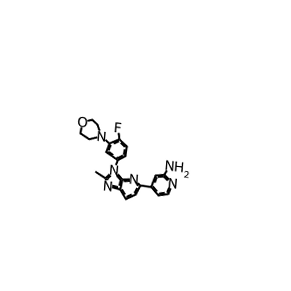 Cc1nc2ccc(-c3ccnc(N)c3)nc2n1-c1ccc(F)c(N2CCOCC2)c1